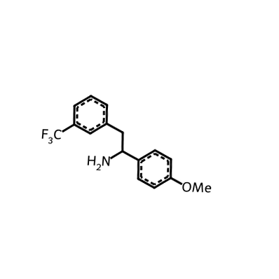 COc1ccc(C(N)Cc2cccc(C(F)(F)F)c2)cc1